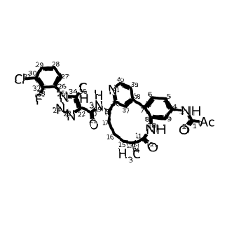 CC(=O)C(=O)Nc1ccc2c(c1)NC(=O)[C@H](C)CCC[C@H](NC(=O)c1nnn(-c3cccc(Cl)c3F)c1C)c1cc-2ccn1